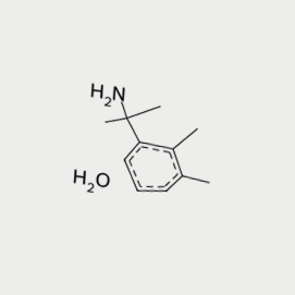 Cc1cccc(C(C)(C)N)c1C.O